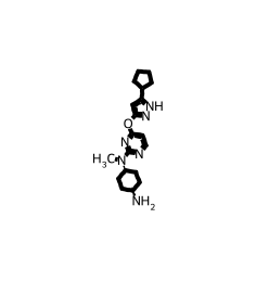 CN(c1nccc(Oc2cc(C3CCCC3)[nH]n2)n1)[C@H]1CC[C@H](N)CC1